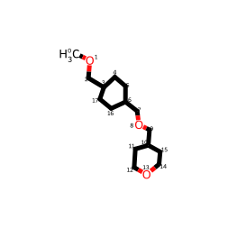 COCC1CCC(COCC2CCOCC2)CC1